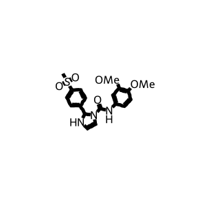 COc1ccc(NC(=O)N2C=CNC2c2ccc(S(C)(=O)=O)cc2)cc1OC